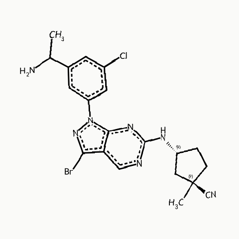 CC(N)c1cc(Cl)cc(-n2nc(Br)c3cnc(N[C@@H]4CC[C@@](C)(C#N)C4)nc32)c1